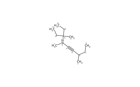 CCC(C)C#C[SiH](C)C(C)(CC)CC